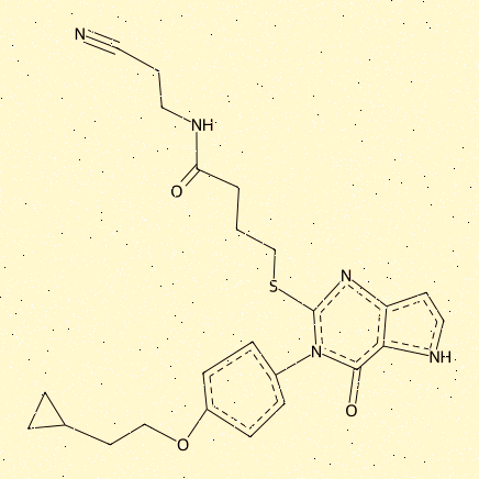 N#CCCNC(=O)CCCSc1nc2cc[nH]c2c(=O)n1-c1ccc(OCCC2CC2)cc1